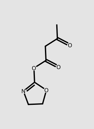 CC(=O)CC(=O)OC1=NCCO1